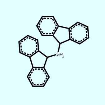 c1ccc2c(c1)-c1ccccc1C2[SiH2]C1c2ccccc2-c2ccccc21